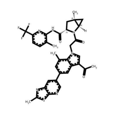 CC(=O)c1cn(CC(=O)N2[C@H](C(=O)Nc3nc(C(F)(F)F)ccc3C)C[C@@]3(C)C[C@@H]23)c2c(C)cc(-c3cnc4sc(C)nc4c3)cc12